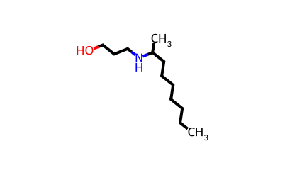 CCCCCCCC(C)NCCCO